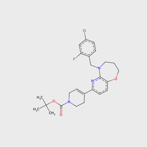 CC(C)(C)OC(=O)N1CC=C(c2ccc3c(n2)N(Cc2ccc(Cl)cc2F)CCCO3)CC1